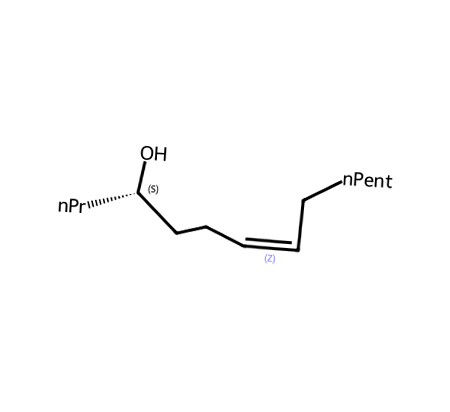 CCCCCC/C=C\CC[C@@H](O)CCC